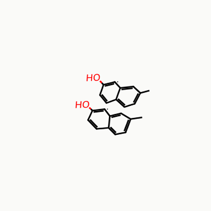 Cc1ccc2ccc(O)[c]c2c1.Cc1ccc2ccc(O)[c]c2c1